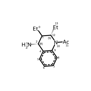 CCC1[C@@H](N)c2ccccc2N(C(C)=O)[C@H]1CC